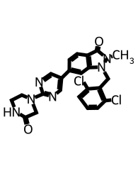 Cn1c(=O)c2ccc(-c3cnc(N4CCNC(=O)C4)nc3)cc2n1Cc1c(Cl)cccc1Cl